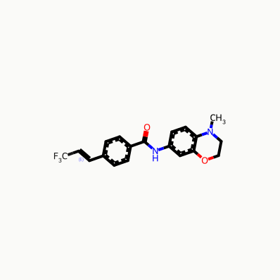 CN1CCOc2cc(NC(=O)c3ccc(/C=C/C(F)(F)F)cc3)ccc21